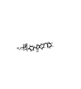 CC(C)(C)C(=O)Oc1ccc(-c2nc3c([nH]2)C=CN(Cc2ccccc2)C3)cc1